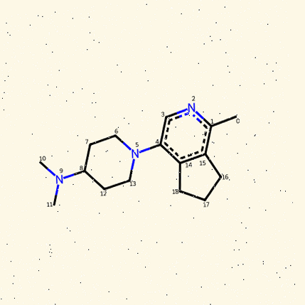 Cc1ncc(N2CCC(N(C)C)CC2)c2c1CCC2